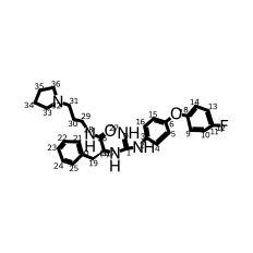 N=C(Nc1ccc(Oc2ccc(F)cc2)cc1)N[C@@H](Cc1ccccc1)C(=O)NCCCN1CCCC1